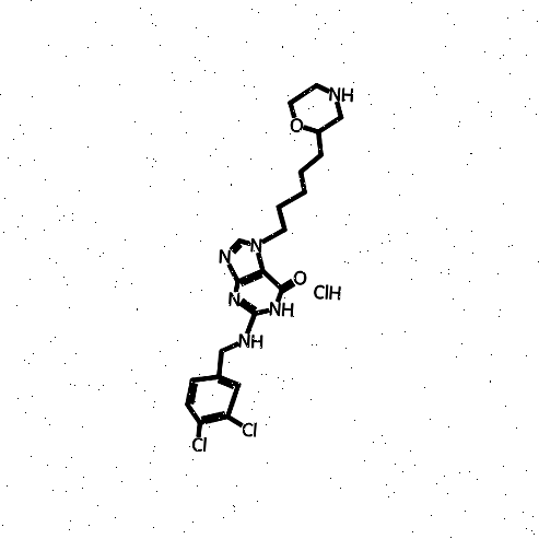 Cl.O=c1[nH]c(NCc2ccc(Cl)c(Cl)c2)nc2ncn(CCCCCC3CNCCO3)c12